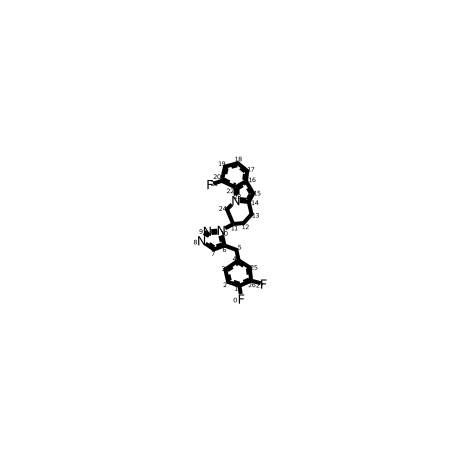 Fc1ccc(Cc2cnnn2C2CCc3[c]c4cccc(F)c4n3C2)cc1F